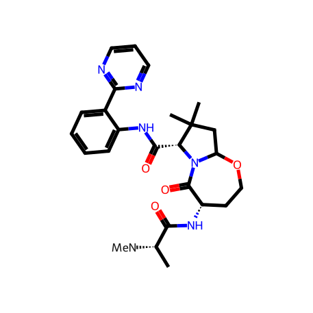 CN[C@@H](C)C(=O)N[C@H]1CCOC2CC(C)(C)[C@@H](C(=O)Nc3ccccc3-c3ncccn3)N2C1=O